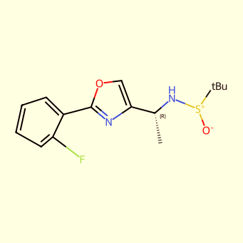 C[C@@H](N[S+]([O-])C(C)(C)C)c1coc(-c2ccccc2F)n1